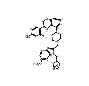 O=C(O)c1ccc2nc(CN3CCC(c4cccc5c4O[C@@H](c4ccc(Cl)cc4F)CO5)CC3)n(CC34CC(CO3)C4)c2c1